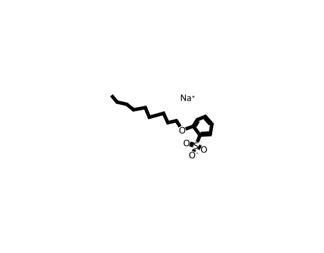 CCCCCCCCCOc1ccccc1S(=O)(=O)[O-].[Na+]